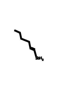 CCCCC=[CH][SbH2]